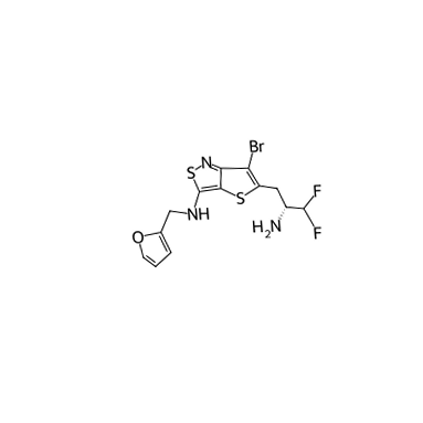 N[C@H](Cc1sc2c(NCc3ccco3)snc2c1Br)C(F)F